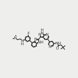 CN(C)CCNc1cc(F)cc(-c2cccc3[nH]c(-c4n[nH]c5ncc(-c6cncc(NC(=O)CC(C)(C)C)c6)cc45)nc23)c1